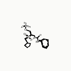 O=C(NCC(COP(=O)(O)O)S(=O)(=O)CC1CCCC1)Nc1ccccc1